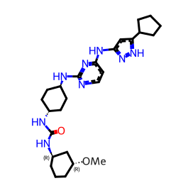 CO[C@@H]1CCC[C@@H](NC(=O)N[C@H]2CC[C@H](Nc3nccc(Nc4cc(C5CCCC5)[nH]n4)n3)CC2)C1